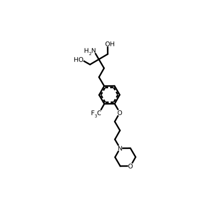 NC(CO)(CO)CCc1ccc(OCCCN2CCOCC2)c(C(F)(F)F)c1